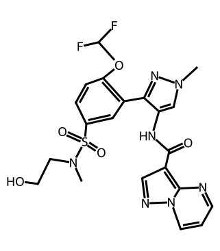 CN(CCO)S(=O)(=O)c1ccc(OC(F)F)c(-c2nn(C)cc2NC(=O)c2cnn3cccnc23)c1